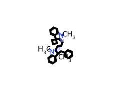 CN1/C(=C/C=C/C2=[N+](C)c3ccccc3C2(C)Cc2ccccc2)C2(CCC2)c2ccccc21